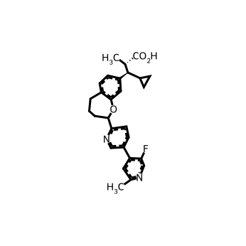 Cc1cc(-c2ccc(C3CCCc4ccc([C@H](C5CC5)[C@H](C)C(=O)O)cc4O3)nc2)c(F)cn1